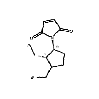 CC(C)CC1CC[C@H](N2C(=O)C=CC2=O)[C@H]1CC(C)C